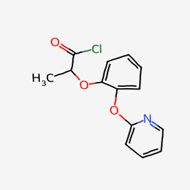 CC(Oc1ccccc1Oc1ccccn1)C(=O)Cl